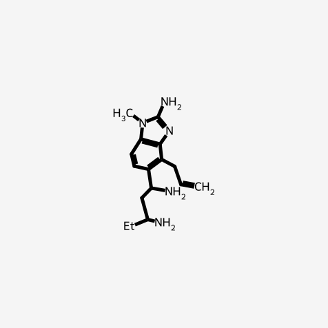 C=CCc1c(C(N)CC(N)CC)ccc2c1nc(N)n2C